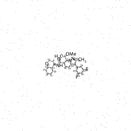 COC(C)c1c(C(=O)N[C@H]2CCOc3ccccc32)ccc2c(-c3cc(F)cc(F)c3)c(C)nn12